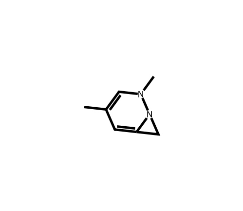 CC1=CN(C)N2CC2=C1